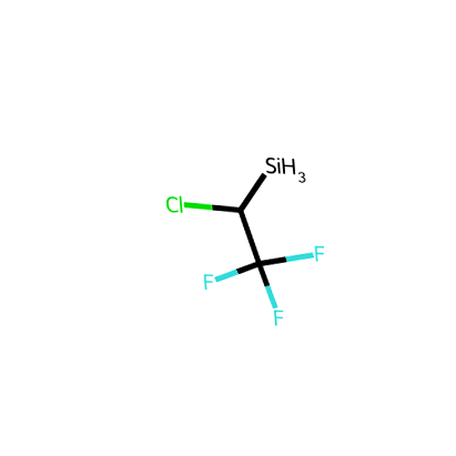 FC(F)(F)C([SiH3])Cl